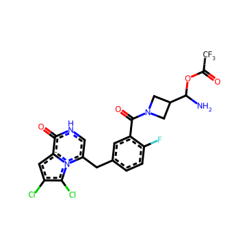 NC(OC(=O)C(F)(F)F)C1CN(C(=O)c2cc(Cc3c[nH]c(=O)c4cc(Cl)c(Cl)n34)ccc2F)C1